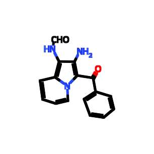 Nc1c(NC=O)c2ccccn2c1C(=O)c1ccccc1